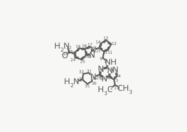 CC(C)c1cnn2c(NCc3ccccc3-n3cc4cc(C(N)=O)ccc4n3)nc(N3CCC(N)CC3)nc12